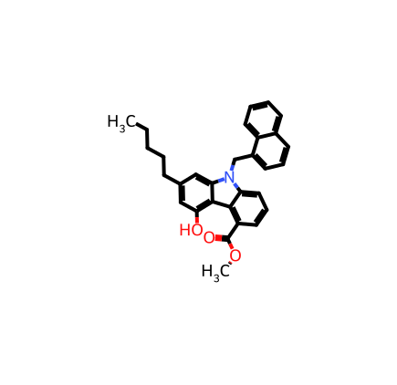 CCCCCc1cc(O)c2c3c(C(=O)OC)cccc3n(Cc3cccc4ccccc34)c2c1